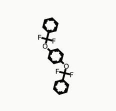 FC(F)(Oc1ccc(OC(F)(F)c2ccccc2)cc1)c1ccccc1